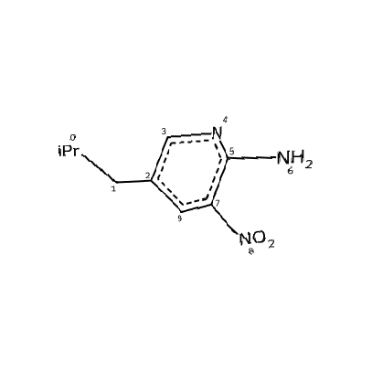 CC(C)Cc1cnc(N)c([N+](=O)[O-])c1